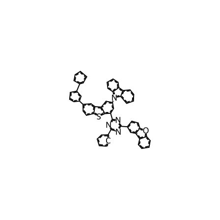 c1ccc(-c2cccc(-c3ccc4sc5c(-c6nc(-c7ccccc7)nc(-c7ccc8oc9ccccc9c8c7)n6)cc(-n6c7ccccc7c7ccccc76)cc5c4c3)c2)cc1